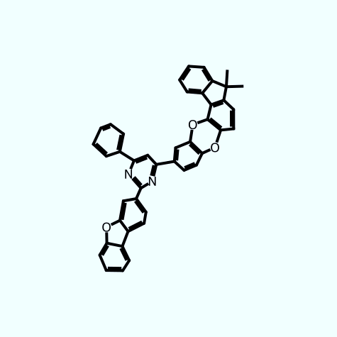 CC1(C)c2ccccc2-c2c1ccc1c2Oc2cc(-c3cc(-c4ccccc4)nc(-c4ccc5c(c4)oc4ccccc45)n3)ccc2O1